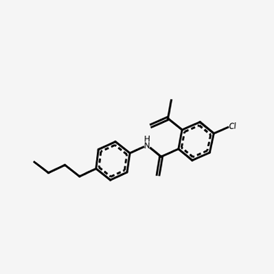 C=C(C)c1cc(Cl)ccc1C(=C)Nc1ccc(CCCC)cc1